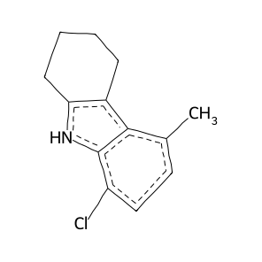 Cc1ccc(Cl)c2[nH]c3c(c12)CCCC3